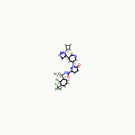 C[C@@H](NC(=O)c1ccc(=O)n(-c2cncc(-c3cnnn3C3CCC3)c2)n1)c1cccc(C(F)(F)F)c1F